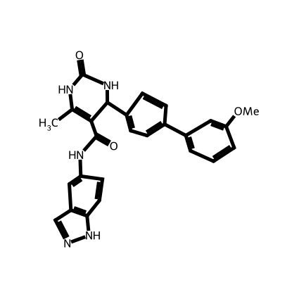 COc1cccc(-c2ccc(C3NC(=O)NC(C)=C3C(=O)Nc3ccc4[nH]ncc4c3)cc2)c1